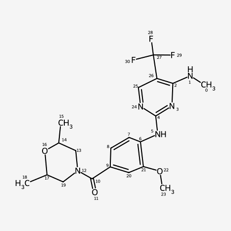 CNc1nc(Nc2ccc(C(=O)N3CC(C)OC(C)C3)cc2OC)ncc1C(F)(F)F